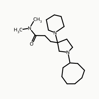 CN(C)C(=O)CCC1(N2CCCCC2)CCN(C2CCCCCCC2)C1